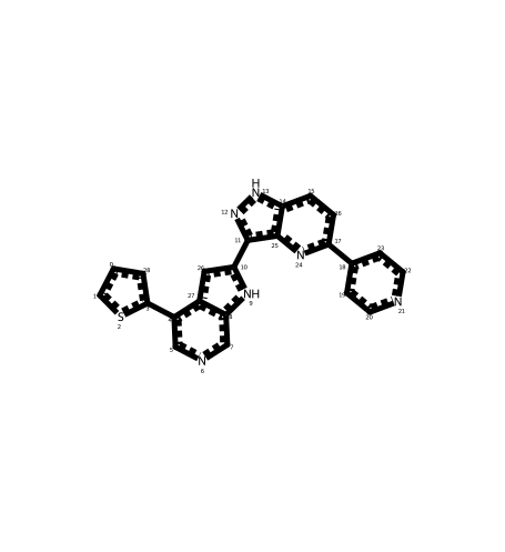 c1csc(-c2cncc3[nH]c(-c4n[nH]c5ccc(-c6ccncc6)nc45)cc23)c1